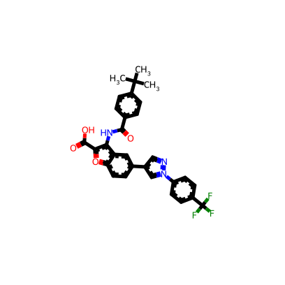 CC(C)(C)c1ccc(C(=O)Nc2c(C(=O)O)oc3ccc(-c4cnn(-c5ccc(C(F)(F)F)cc5)c4)cc23)cc1